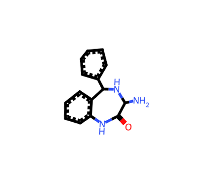 NC1NC(c2ccccc2)c2ccccc2NC1=O